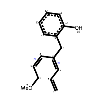 C=C/C=C(\C=C/COC)Cc1ccccc1O